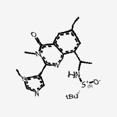 Cc1cc(C(C)N[S@+]([O-])C(C)(C)C)c2nc(-c3cncn3C)n(C)c(=O)c2c1